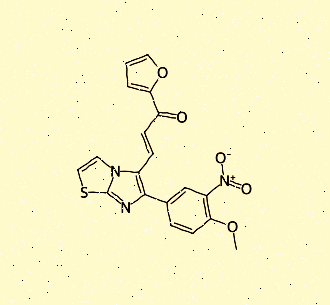 COc1ccc(-c2nc3sccn3c2C=CC(=O)c2ccco2)cc1[N+](=O)[O-]